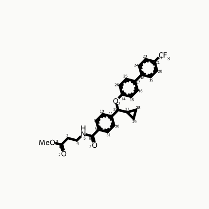 COC(=O)CCNC(=O)c1ccc(C(Oc2ccc(-c3ccc(C(F)(F)F)cc3)cc2)C2CC2)cc1